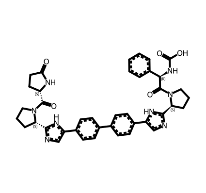 O=C(O)N[C@@H](C(=O)N1CCC[C@H]1c1ncc(-c2ccc(-c3ccc(-c4cnc([C@@H]5CCCN5C(=O)[C@@H]5CCC(=O)N5)[nH]4)cc3)cc2)[nH]1)c1ccccc1